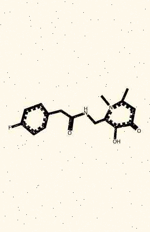 Cc1cc(=O)c(O)c(CNC(=O)Cc2ccc(F)cc2)n1C